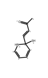 CC(=O)/C=C/C1(S)C=CC=CN1